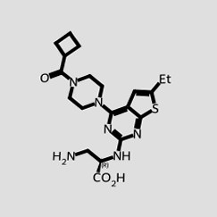 CCc1cc2c(N3CCN(C(=O)C4CCC4)CC3)nc(N[C@H](CN)C(=O)O)nc2s1